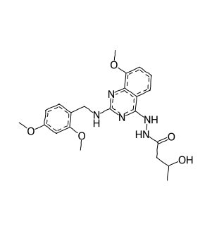 COc1ccc(CNc2nc(NNC(=O)CC(C)O)c3cccc(OC)c3n2)c(OC)c1